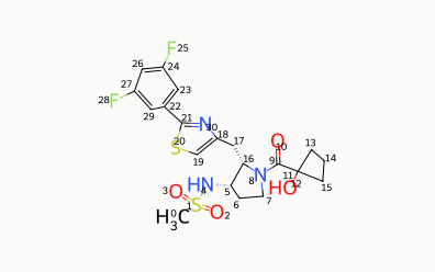 CS(=O)(=O)N[C@H]1CCN(C(=O)C2(O)CCC2)[C@H]1Cc1csc(-c2cc(F)cc(F)c2)n1